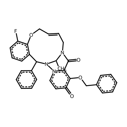 CC1N2C/C=C/COc3c(F)cccc3C(c3ccccc3)N1n1ccc(=O)c(OCc3ccccc3)c1C2=O